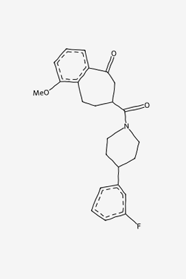 COc1cccc2c1CCC(C(=O)N1CCC(c3cccc(F)c3)CC1)CC2=O